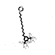 CC(C)(C)c1cc(CCCCCCCCCCCCCN2CCOCC2)cc(C(C)(C)C)c1O